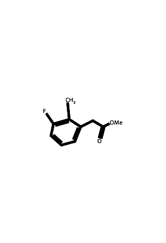 COC(=O)Cc1cccc(F)c1C